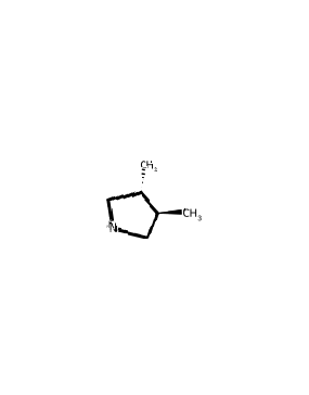 C[C@H]1C[N]C[C@@H]1C